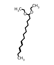 CCC=CC=CCCCCCCCC(OCC)OCC